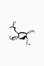 CCNCCc1cc(OC)c(OC(F)(F)F)cc1OC